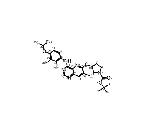 CC(C)(C)OC(=O)N1CC[C@H](Oc2nc3c(Nc4ccc(OC(F)F)c(F)c4F)ncnc3cc2F)C1